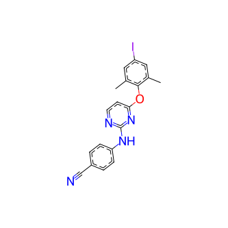 Cc1cc(I)cc(C)c1Oc1ccnc(Nc2ccc(C#N)cc2)n1